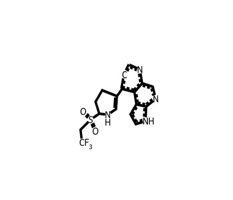 O=S(=O)(CC(F)(F)F)C1CCC(c2ccnc3cnc4[nH]ccc4c23)=CN1